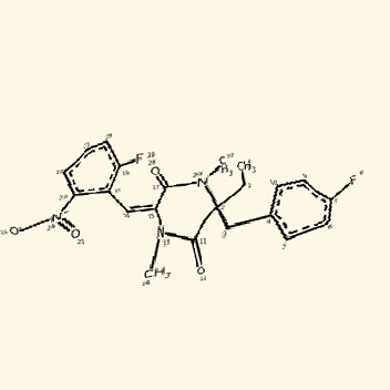 CCC1(Cc2ccc(F)cc2)C(=O)N(C)/C(=C/c2c(F)cccc2[N+](=O)[O-])C(=O)N1C